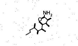 C=C(CCC)C(=C)C(=C)C(=C)C(=C)C(=C)C(N)=O